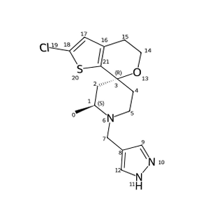 C[C@H]1C[C@@]2(CCN1Cc1cn[nH]c1)OCCc1cc(Cl)sc12